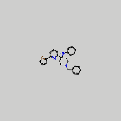 c1ccc(CN2CCC(Nc3ccccc3)(c3cccc(-c4cccs4)n3)CC2)cc1